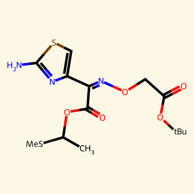 CSC(C)OC(=O)C(=NOCC(=O)OC(C)(C)C)c1csc(N)n1